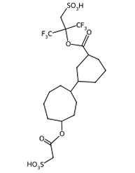 O=C(CS(=O)(=O)O)OC1CCCCC(C2CCCC(C(=O)OC(CS(=O)(=O)O)(C(F)(F)F)C(F)(F)F)C2)CC1